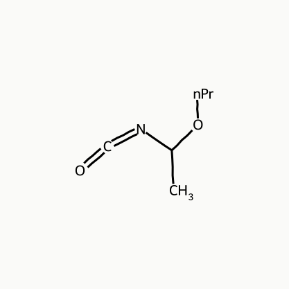 CCCOC(C)N=C=O